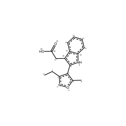 CCc1noc(C)c1-c1[nH]c2ccccc2c1CC(=O)O